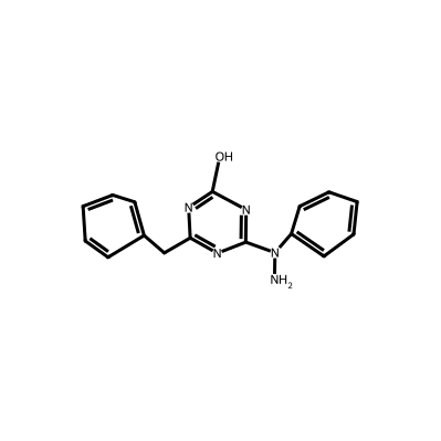 NN(c1ccccc1)c1nc(O)nc(Cc2ccccc2)n1